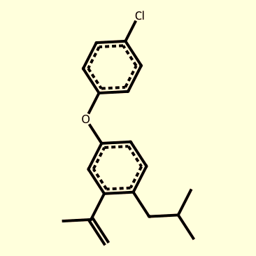 C=C(C)c1cc(Oc2ccc(Cl)cc2)ccc1CC(C)C